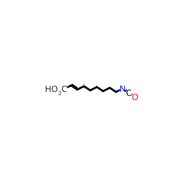 O=C=NCCCCC[CH]C=CC(=O)O